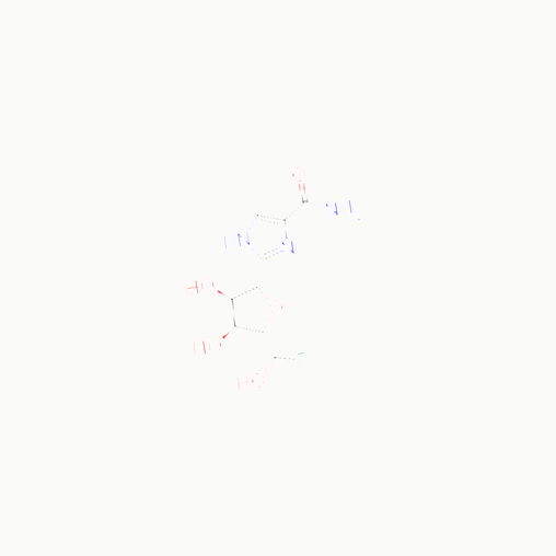 NC(=O)c1c[nH]c([C@@H]2O[C@H](C(O)F)[C@@H](O)[C@H]2O)n1